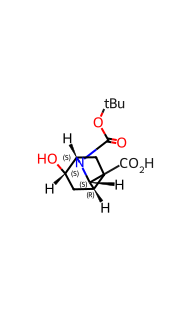 CC(C)(C)OC(=O)N1[C@H](C(=O)O)[C@@H]2CC[C@H]1[C@@H](O)C2